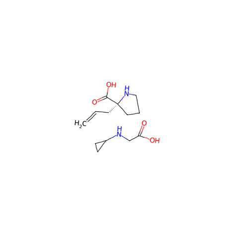 C=CC[C@@]1(C(=O)O)CCCN1.O=C(O)CNC1CC1